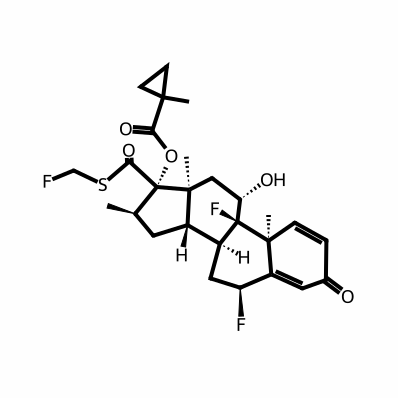 C[C@@H]1C[C@H]2[C@@H]3C[C@H](F)C4=CC(=O)C=C[C@]4(C)[C@@]3(F)[C@@H](O)C[C@]2(C)[C@]1(OC(=O)C1(C)CC1)C(=O)SCF